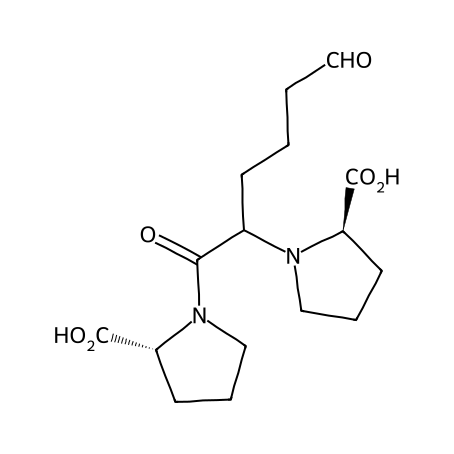 O=CCCCC(C(=O)N1CCC[C@@H]1C(=O)O)N1CCC[C@@H]1C(=O)O